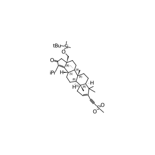 CC(C)C1=C2[C@H]3CC[C@@H]4[C@@]5(C)CC=C(C#CS(C)(=O)=O)C(C)(C)[C@@H]5CC[C@@]4(C)[C@]3(C)CC[C@@]2(CO[Si](C)(C)C(C)(C)C)CC1=O